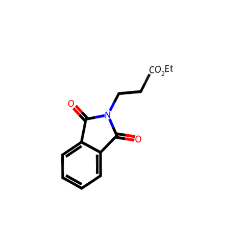 CCOC(=O)CCN1C(=O)c2ccccc2C1=O